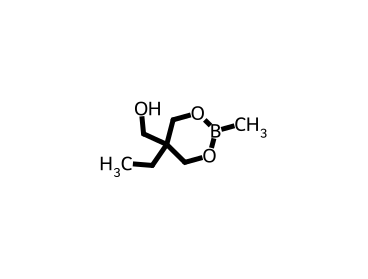 CCC1(CO)COB(C)OC1